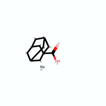 O=C(O)C12CC3CC(CC(C3)C1)C2.[Na]